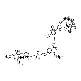 C=C(\C=C/C(C)=C/C(NB(C)F)=C(C)/C=C/C)CCC(=C)NCCOc1ccc(C(=O)OCC#Cc2cn([C@H]3C[C@@H](OCN=[N+]=[N-])[C@@H](COP(=O)(O)OP(=O)(O)OP(=O)(O)O)O3)c(=O)nc2N)c(CN=[N+]=[N-])c1